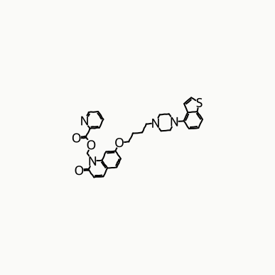 O=C(OCn1c(=O)ccc2ccc(OCCCCN3CCN(c4cccc5sccc45)CC3)cc21)c1ccccn1